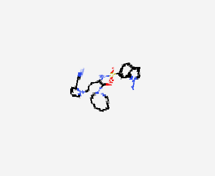 N#Cc1cccn1CCC(NS(=O)(=O)c1ccc2cc[nH]c2c1)C(=O)N1CCCCCC1